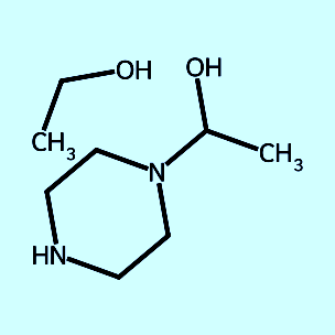 CC(O)N1CCNCC1.CCO